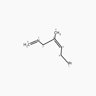 C=NC/C(C)=C\CC(C)C